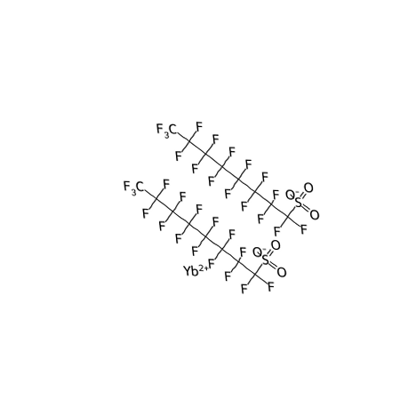 O=S(=O)([O-])C(F)(F)C(F)(F)C(F)(F)C(F)(F)C(F)(F)C(F)(F)C(F)(F)C(F)(F)F.O=S(=O)([O-])C(F)(F)C(F)(F)C(F)(F)C(F)(F)C(F)(F)C(F)(F)C(F)(F)C(F)(F)F.[Yb+2]